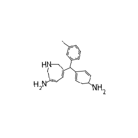 Cc1cccc(C(C2=CCC(N)C=C2)C2=CC=C(N)CNC2)c1